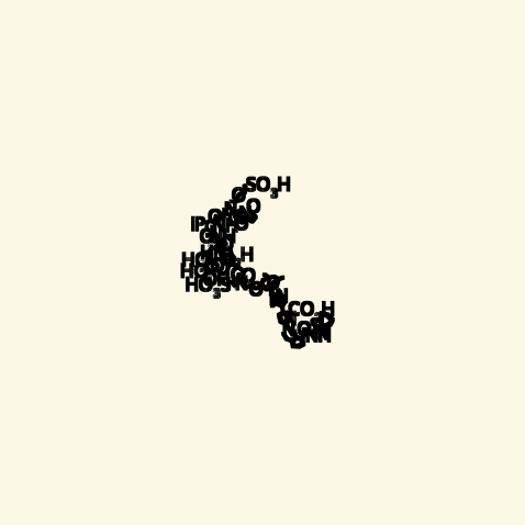 Cc1c(-c2ccc(N3CCc4cccc(C(=O)Nc5nc6ccccc6s5)c4C3)nc2C(=O)O)cnn1CC12CC3(C)CC(C)(C1)CC(OCCN(CCS(=O)(=O)O)C(=O)OCc1ccc(NC(=O)[C@H](C)NC(=O)[C@@H](NC(=O)CCN(CCOCCS(=O)(=O)O)C(=O)CN4C(=O)C=CC4=O)C(C)C)cc1CC[C@@H]1O[C@H](C(=O)O)[C@@H](O)[C@H](O)[C@H]1O)(C3)C2